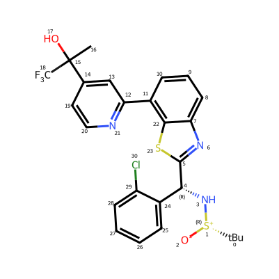 CC(C)(C)[S@+]([O-])N[C@@H](c1nc2cccc(-c3cc(C(C)(O)C(F)(F)F)ccn3)c2s1)c1ccccc1Cl